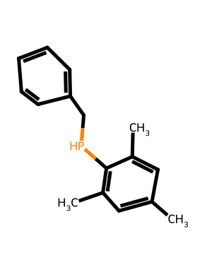 Cc1cc(C)c(PCc2ccccc2)c(C)c1